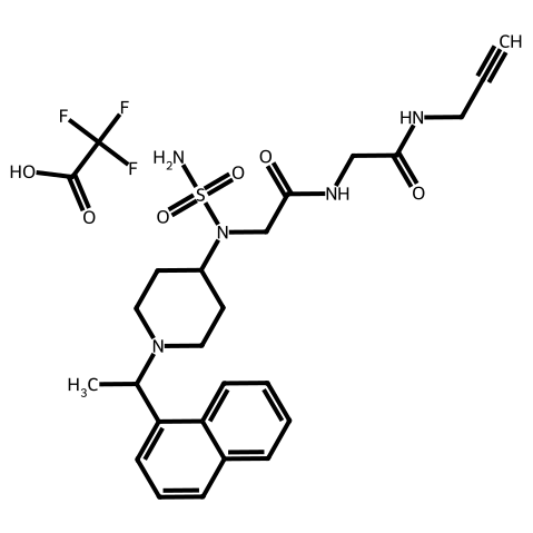 C#CCNC(=O)CNC(=O)CN(C1CCN(C(C)c2cccc3ccccc23)CC1)S(N)(=O)=O.O=C(O)C(F)(F)F